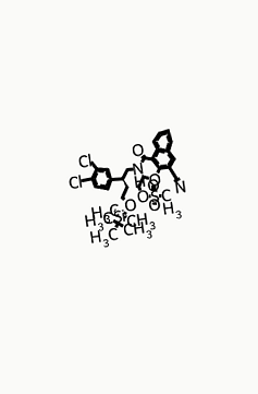 CC(C)(C)[Si](C)(C)OCC[C@H](CNC(=O)c1c(OCCOS(C)(=O)=O)c(C#N)cc2ccccc12)c1ccc(Cl)c(Cl)c1